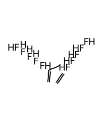 C=C.C=CC.F.F.F.F.F.F.F.F.F.F